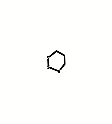 C1CSSSC1